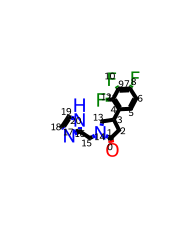 O=C1CC(c2ccc(F)c(F)c2F)CN1Cc1ncc[nH]1